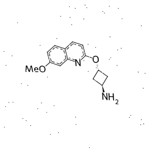 COc1ccc2ccc(O[C@H]3C[C@H](N)C3)nc2c1